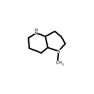 CN1CCCC2NCCCC21